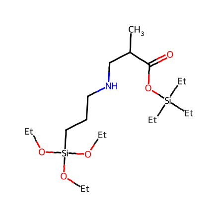 CCO[Si](CCCNCC(C)C(=O)O[Si](CC)(CC)CC)(OCC)OCC